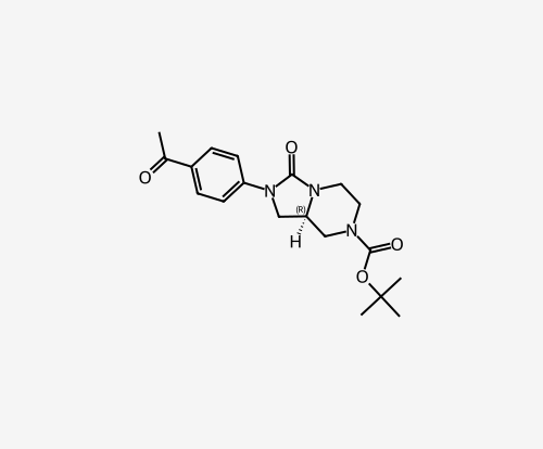 CC(=O)c1ccc(N2C[C@@H]3CN(C(=O)OC(C)(C)C)CCN3C2=O)cc1